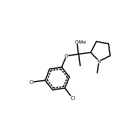 COC(C)(Oc1cc(Cl)cc(Cl)c1)C1CCCN1C